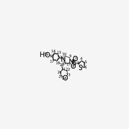 O=S(=O)(c1cccs1)N1CCN(c2ccc(O)cc2)[C@@H](CC2CCOCC2)C1